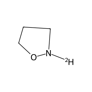 [2H]N1CCCO1